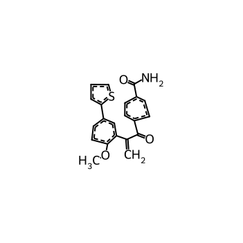 C=C(C(=O)c1ccc(C(N)=O)cc1)c1cc(-c2cccs2)ccc1OC